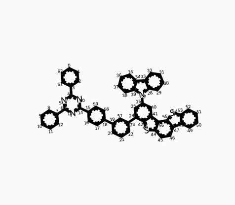 c1ccc(-c2nc(-c3ccccc3)nc(-c3ccc(-c4cccc(-c5cc(-n6c7ccccc7c7ccccc76)cc6c5sc5ccc7c8ccccc8sc7c56)c4)cc3)n2)cc1